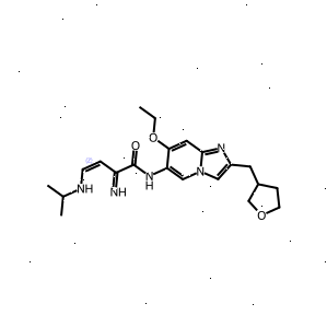 CCOc1cc2nc(CC3CCOC3)cn2cc1NC(=O)C(=N)/C=C\NC(C)C